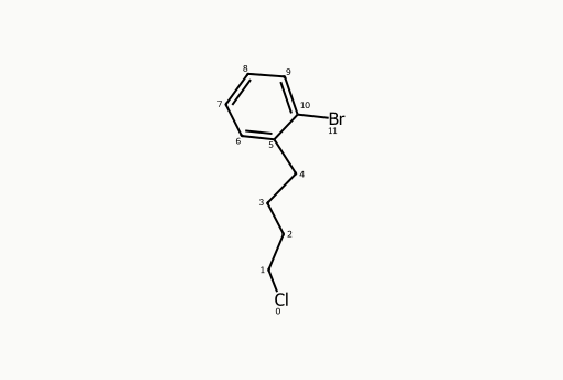 ClCCCCc1ccccc1Br